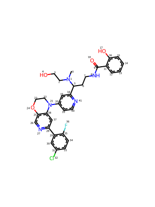 CN(CCO)C(CCNC(=O)c1ccccc1O)c1cc(N2CCOc3cnc(-c4cc(Cl)ccc4F)cc32)ccn1